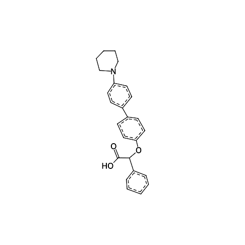 O=C(O)C(Oc1ccc(-c2ccc(N3CCCCC3)cc2)cc1)c1ccccc1